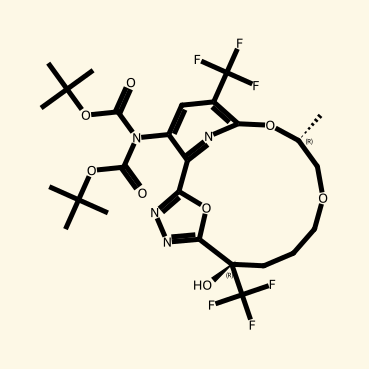 C[C@@H]1COCCC[C@](O)(C(F)(F)F)c2nnc(o2)-c2nc(c(C(F)(F)F)cc2N(C(=O)OC(C)(C)C)C(=O)OC(C)(C)C)O1